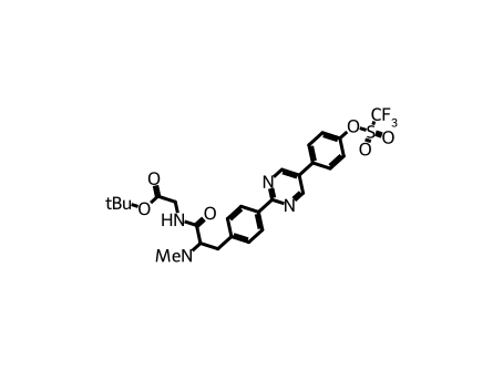 CNC(Cc1ccc(-c2ncc(-c3ccc(OS(=O)(=O)C(F)(F)F)cc3)cn2)cc1)C(=O)NCC(=O)OC(C)(C)C